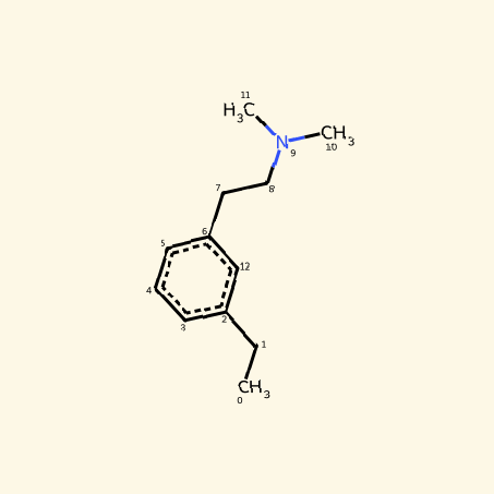 CCc1cccc(CCN(C)C)c1